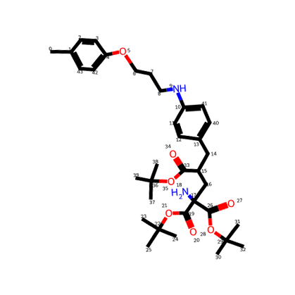 Cc1ccc(OCCCNc2ccc(CC(CC(N)(C(=O)OC(C)(C)C)C(=O)OC(C)(C)C)C(=O)OC(C)(C)C)cc2)cc1